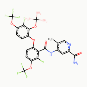 BC(B)(B)Oc1c(Oc2ccc(OC(F)(F)F)c(F)c2C(=O)Nc2cc(C(N)=O)ncc2C)ccc(OC(F)(F)F)c1F